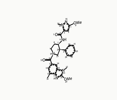 COc1cc(C(=O)N[C@@H]2CCN(C(=O)c3cc(C)c4nc(OC)n(C)c4c3)C[C@@H]2c2ccccc2)n(C)n1